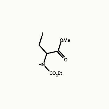 CCOC(=O)NC(CI)C(=O)OC